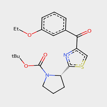 CCOc1cccc(C(=O)c2csc([C@@H]3CCCN3C(=O)OC(C)(C)C)n2)c1